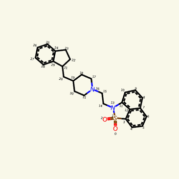 O=S1(=O)c2cccc3cccc(c23)N1CCN1CCC(CC2CCc3ccccc32)CC1